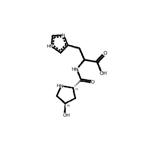 O=C(O)C(Cc1c[nH]cn1)NC(=O)[C@@H]1C[C@@H](O)CN1